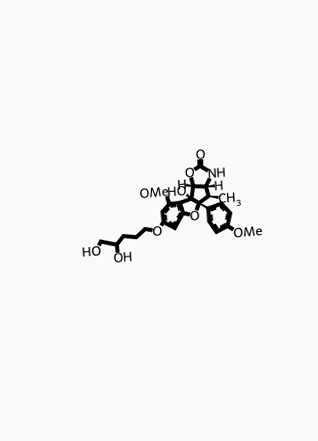 COc1ccc([C@@]23Oc4cc(OCCCC(O)CO)cc(OC)c4[C@]2(O)[C@@H]2OC(=O)N[C@@H]2[C@H]3C)cc1